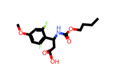 CCCCOC(=O)NC(CC(=O)O)c1c(F)cc(OC)cc1F